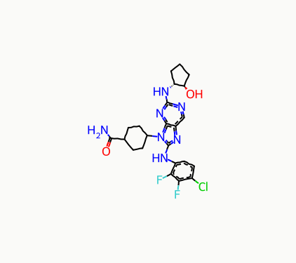 NC(=O)C1CCC(n2c(Nc3ccc(Cl)c(F)c3F)nc3cnc(N[C@@H]4CCC[C@H]4O)nc32)CC1